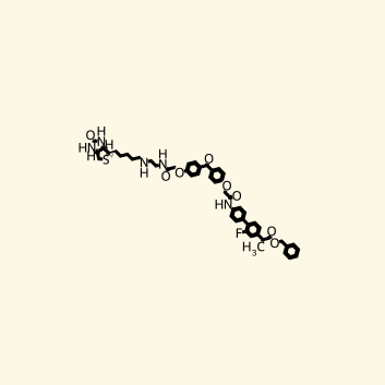 CC(C(=O)OCc1ccccc1)c1ccc(-c2ccc(NC(=O)COc3ccc(C(=O)c4ccc(OCC(=O)NCCNCCCCC[C@H]5SC[C@H]6NC(=O)N[C@H]65)cc4)cc3)cc2)c(F)c1